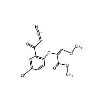 COC=C(Oc1ccc(Cl)cc1C(=O)C=[N+]=[N-])C(=O)OC